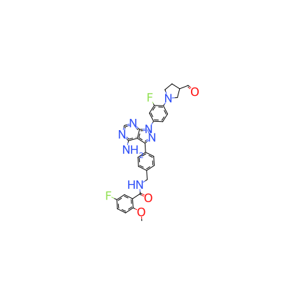 COc1ccc(F)cc1C(=O)NCc1ccc(-c2nn(-c3ccc(N4CCC(C=O)C4)c(F)c3)c3ncnc(N)c23)cc1